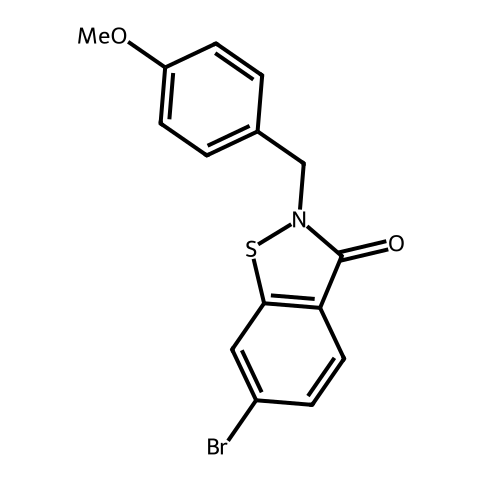 COc1ccc(Cn2sc3cc(Br)ccc3c2=O)cc1